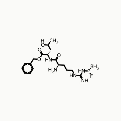 BP(F)NC(=N)NCCC[C@@H](N)C(=O)N[C@@H](CC(C)C)C(=O)OCc1ccccc1